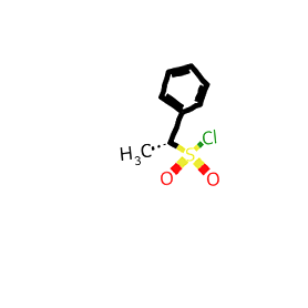 C[C@H](c1ccccc1)S(=O)(=O)Cl